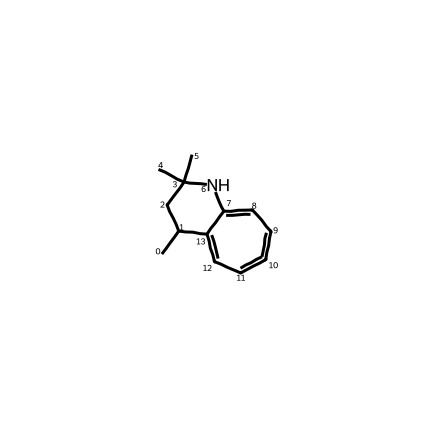 CC1CC(C)(C)NC2=CC=C=CC=C21